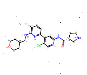 O=C(Nc1cc(-c2ccc(F)c(NCC3CCOCC3)n2)c(Cl)cn1)[C@@H]1CCNC1